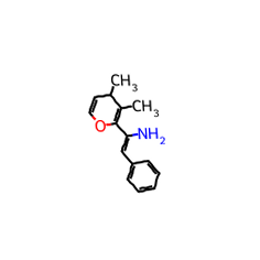 CC1=C(C(N)=Cc2ccccc2)OC=CC1C